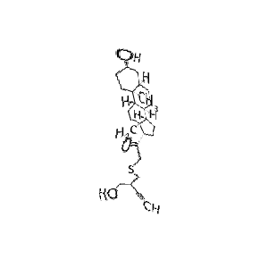 C#CC(CO)CSCC(=O)[C@H]1CC[C@H]2[C@@H]3CC[C@@H]4C[C@H](O)CC[C@]4(C)[C@H]3CC[C@]12C